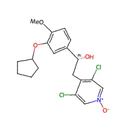 COc1ccc([C@H](O)Cc2c(Cl)c[n+]([O-])cc2Cl)cc1OC1CCCC1